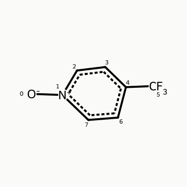 [O-][n+]1ccc(C(F)(F)F)cc1